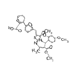 CCOC(=O)C1=C(C)N=c2s/c(=C\c3ccc(-c4ccccc4C(=O)O)o3)c(=O)n2C1c1ccc(OC)cc1OC